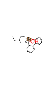 CCC1CC2CC(C1)C(O)(c1ccccc1-c1ccccc1Br)C2